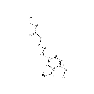 CCOC(=O)CCCSc1ccc(CC)c(CBr)c1